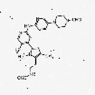 Cc1cc(-c2nc(Nc3ccc(N4CCN(C=O)CC4)cn3)ncc2P)n(C)c1CCNC=O